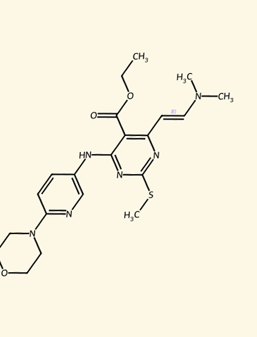 CCOC(=O)c1c(/C=C/N(C)C)nc(SC)nc1Nc1ccc(N2CCOCC2)nc1